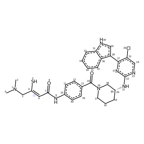 CN(C)C/C(S)=C/C(=O)Nc1ccc(C(=O)N2CCC[C@@H](Nc3ncc(Cl)c(-c4c[nH]c5ccccc45)n3)C2)cc1